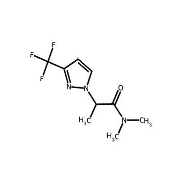 CC(C(=O)N(C)C)n1c[c]c(C(F)(F)F)n1